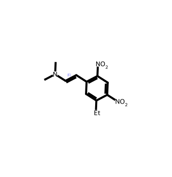 CCc1cc(/C=C/N(C)C)c([N+](=O)[O-])cc1[N+](=O)[O-]